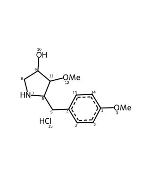 COc1ccc(CC2NCC(O)C2OC)cc1.Cl